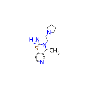 CC(c1cccnc1)N(CCN1CCCC1)C(N)=S